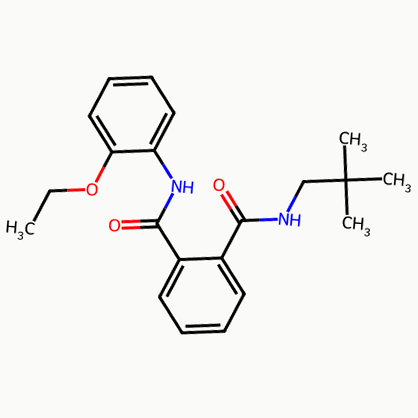 CCOc1ccccc1NC(=O)c1ccccc1C(=O)NCC(C)(C)C